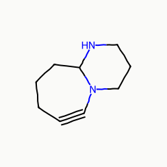 C1#CN2CCCNC2CCC1